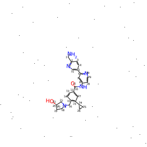 NCc1ccc(-c2cc(NC(=O)c3ccc(CN4CC[C@@H](O)C4)c(C4CC4)c3)ccn2)cn1